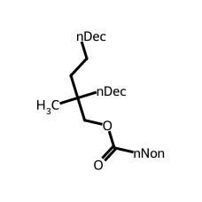 CCCCCCCCCCCCC(C)(CCCCCCCCCC)COC(=O)CCCCCCCCC